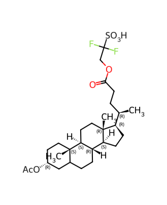 CC(=O)O[C@@H]1CC[C@@]2(C)C(CC[C@H]3[C@@H]4CC[C@H]([C@H](C)CCC(=O)OCC(F)(F)S(=O)(=O)O)[C@@]4(C)CC[C@@H]32)C1